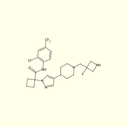 O=C(Nc1ccc(C(F)(F)F)cc1Cl)C1(n2cc(C3CCN(CC4(F)CNC4)CC3)cn2)CCC1